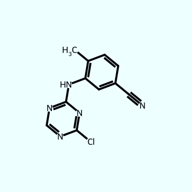 Cc1ccc(C#N)cc1Nc1ncnc(Cl)n1